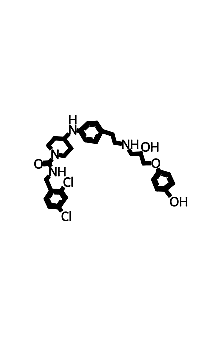 O=C(NCc1ccc(Cl)cc1Cl)N1CCC(Nc2ccc(CCNC[C@H](O)COc3ccc(O)cc3)cc2)CC1